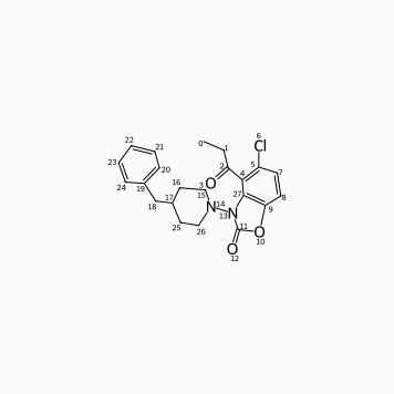 CCC(=O)c1c(Cl)ccc2oc(=O)n(N3CCC(Cc4ccccc4)CC3)c12